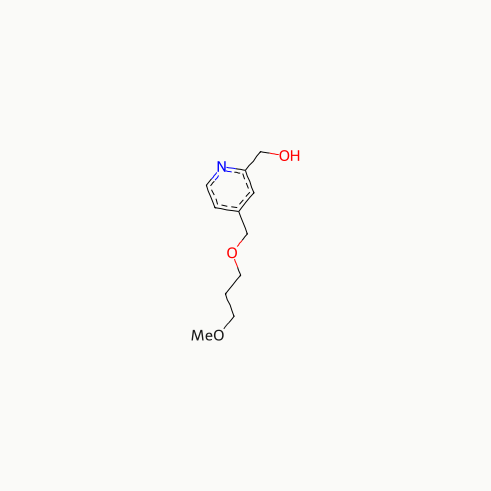 COCCCOCc1ccnc(CO)c1